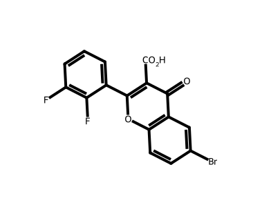 O=C(O)c1c(-c2cccc(F)c2F)oc2ccc(Br)cc2c1=O